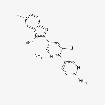 CCCn1c(-c2cnc(-c3ccc(N)nc3)c(Cl)c2)nc2ccc(F)cc21.N